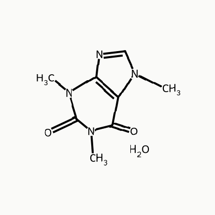 Cn1c(=O)c2c(ncn2C)n(C)c1=O.O